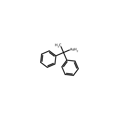 CC([AsH2])(c1ccccc1)c1ccccc1